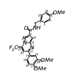 COc1ccc(CNC(=O)c2cc3nc(-c4ccc(OC)c(OC)c4)cc(C(F)(F)F)n3n2)cc1